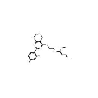 CN/C(=C\C=N)NCCNc1nc(-c2ccc(Cl)cc2Cl)nc2c1CNCC2